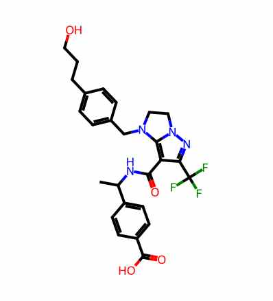 CC(NC(=O)c1c(C(F)(F)F)nn2c1N(Cc1ccc(CCCO)cc1)CC2)c1ccc(C(=O)O)cc1